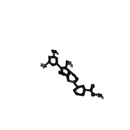 COC(=O)c1cccc(-c2ccc3c(C)c(-c4cc(C)nc(C)c4)[nH]c3c2)c1